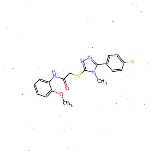 COc1ccccc1NC(=O)CSc1nnc(-c2ccc(F)cc2)n1C